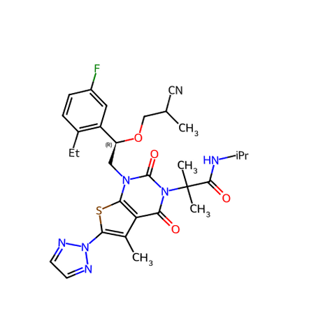 CCc1ccc(F)cc1[C@H](Cn1c(=O)n(C(C)(C)C(=O)NC(C)C)c(=O)c2c(C)c(-n3nccn3)sc21)OCC(C)C#N